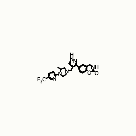 CC1CN(Cc2c[nH]nc2-c2ccc3c(c2)CNC(=O)O3)CCN1c1ccc(C(F)(F)F)cn1